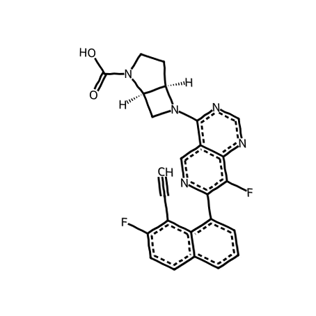 C#Cc1c(F)ccc2cccc(-c3ncc4c(N5C[C@@H]6[C@H]5CCN6C(=O)O)ncnc4c3F)c12